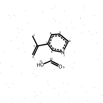 C=C(C)c1cccnc1.O=CO